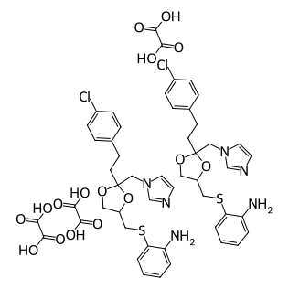 Nc1ccccc1SCC1COC(CCc2ccc(Cl)cc2)(Cn2ccnc2)O1.Nc1ccccc1SCC1COC(CCc2ccc(Cl)cc2)(Cn2ccnc2)O1.O=C(O)C(=O)O.O=C(O)C(=O)O.O=C(O)C(=O)O